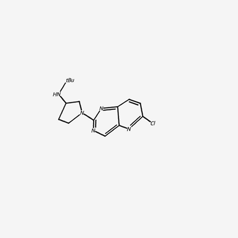 CC(C)(C)NC1CCN(c2ncc3nc(Cl)ccc3n2)C1